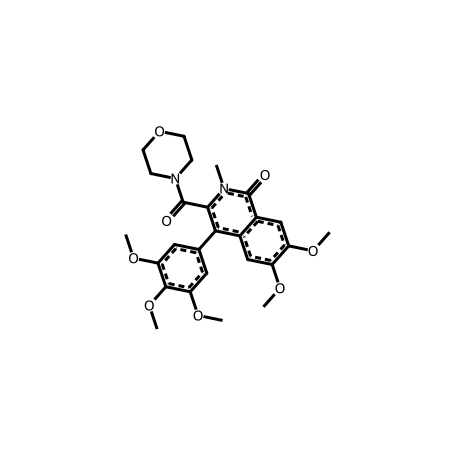 COc1cc2c(-c3cc(OC)c(OC)c(OC)c3)c(C(=O)N3CCOCC3)n(C)c(=O)c2cc1OC